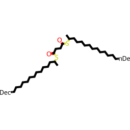 CCCCCCCCCCCCCCCCCCCCCCC(C)SC(=O)CCC(=O)SC(C)CCCCCCCCCCCCCCCCCCCCCC